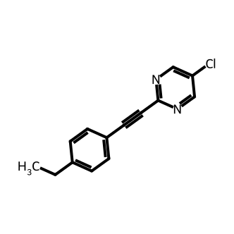 CCc1ccc(C#Cc2ncc(Cl)cn2)cc1